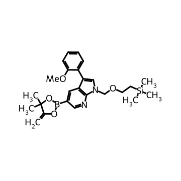 C=C1OB(c2cnc3c(c2)c(-c2ccccc2OC)cn3COCC[Si](C)(C)C)OC1(C)C